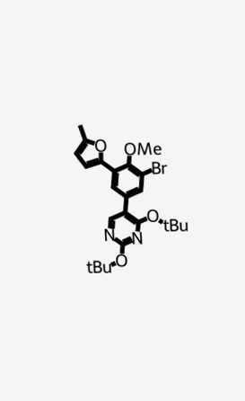 COc1c(Br)cc(-c2cnc(OC(C)(C)C)nc2OC(C)(C)C)cc1-c1ccc(C)o1